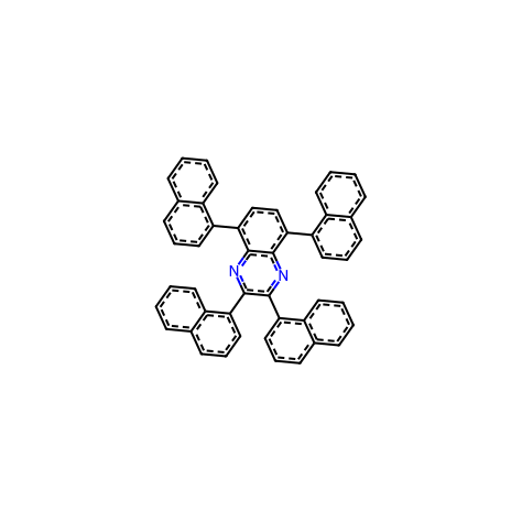 c1ccc2c(-c3nc4c(-c5cccc6ccccc56)ccc(-c5cccc6ccccc56)c4nc3-c3cccc4ccccc34)cccc2c1